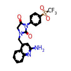 Nc1cc(CN2CC(=O)N(c3ccc(S(=O)(=O)C(F)(F)F)cc3)C2=O)c2ccccc2n1